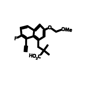 C#Cc1c(F)ccc2cc(OCOC)cc(CC(C)(C)C(=O)O)c12